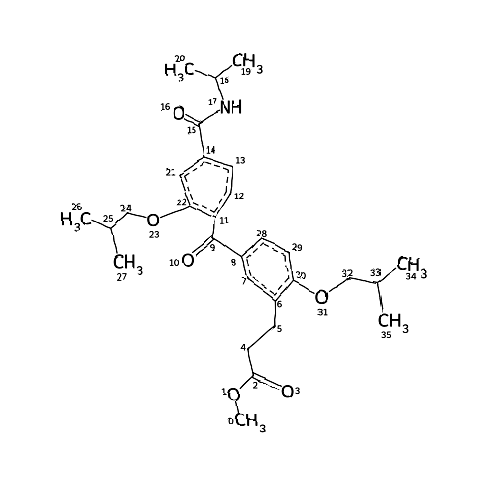 COC(=O)CCc1cc(C(=O)c2ccc(C(=O)NC(C)C)cc2OCC(C)C)ccc1OCC(C)C